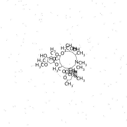 CC[C@H]1OC(=O)[C@H](C)[C@@H](O[C@H]2C[C@@](C)(OC)[C@@H](O)[C@H](C)O2)[C@H](C)[C@@H](O[C@@H]2O[C@H](C)C[C@H](NC)[C@H]2O)[C@](C)(OC)C[C@@H](C)N(C)C[C@H](C)[C@@H](O)[C@]1(C)O